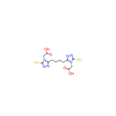 O=C(O)Cn1c(S)nnc1CCCCc1nnc(S)n1CC(=O)O